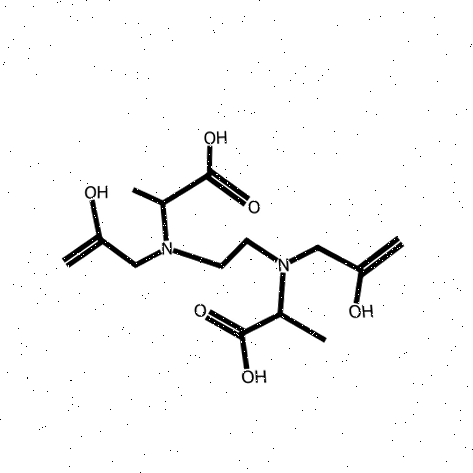 C=C(O)CN(CCN(CC(=C)O)C(C)C(=O)O)C(C)C(=O)O